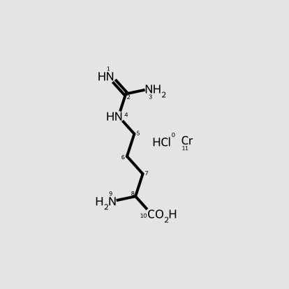 Cl.N=C(N)NCCCC(N)C(=O)O.[Cr]